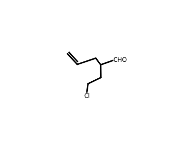 C=CCC(C=O)CCCl